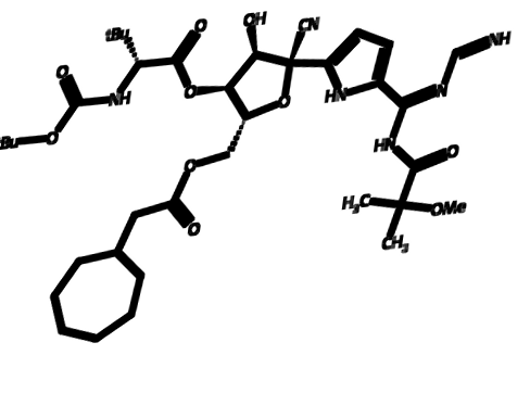 COC(C)(C)C(=O)N/C(=N/C=N)c1ccc([C@]2(C#N)O[C@H](COC(=O)CC3CCCCCC3)[C@@H](OC(=O)[C@H](NC(=O)OC(C)(C)C)C(C)(C)C)[C@H]2O)[nH]1